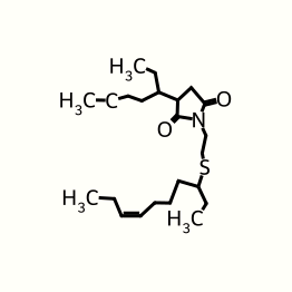 CC/C=C\CCCC(CC)SCCN1C(=O)CC(C(CC)CCCC)C1=O